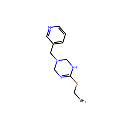 BCSC1=NCN(Cc2cccnc2)CN1